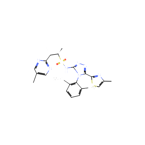 COc1cccc(OC)c1-n1c(NS(=O)(=O)[C@H](C)[C@@H](C)c2ncc(C)cn2)nnc1-c1nc(C)cs1